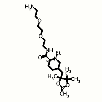 CCN1CC(CC2(C)OB(C)OC2(C)C)CC[C@H]1C(=O)NCCOCCOCCN